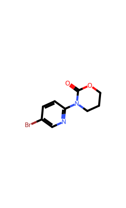 O=C1OCCCN1c1ccc(Br)cn1